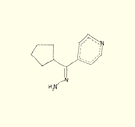 NN=C(c1ccncc1)C1CCCC1